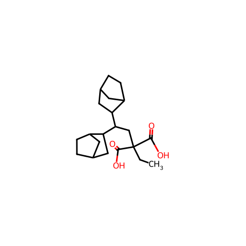 CCC(CC(C1CC2CCC1C2)C1CC2CCC1C2)(C(=O)O)C(=O)O